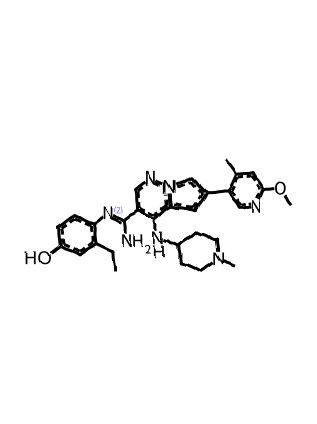 CCc1cc(O)ccc1/N=C(\N)c1cnn2cc(-c3cnc(OC)cc3C)cc2c1NC1CCN(C)CC1